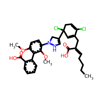 CCCCC=C(CC1=CC(Cl)(C2=CNN(c3ccc(OC)c(-c4ccccc4C(=O)O)c3OC)C2)CC=C1Cl)C(=O)O